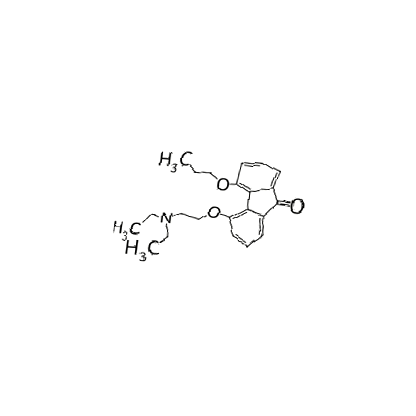 CCCOc1cccc2c1-c1c(OCCN(CC)CC)cccc1C2=O